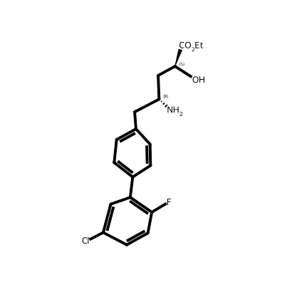 CCOC(=O)[C@@H](O)C[C@H](N)Cc1ccc(-c2cc(Cl)ccc2F)cc1